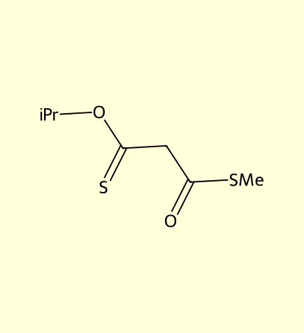 CSC(=O)CC(=S)OC(C)C